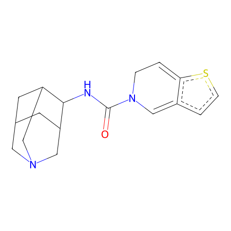 O=C(NC1C2CC3CC1CN(C3)C2)N1C=c2ccsc2=CC1